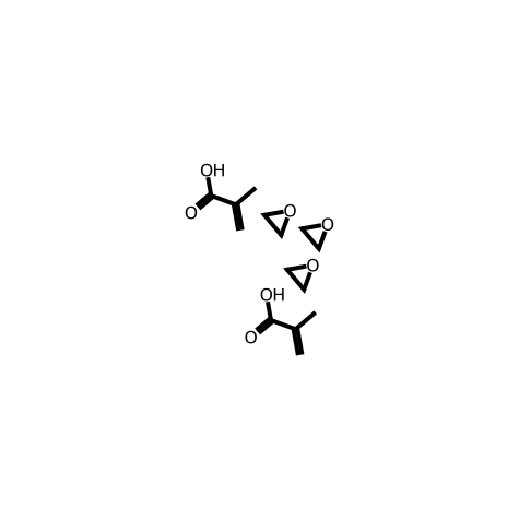 C1CO1.C1CO1.C1CO1.C=C(C)C(=O)O.C=C(C)C(=O)O